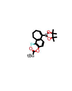 CC(C)(C)C(=O)Oc1ccc2c(c1F)CCCC=C2B1OC(C)(C)C(C)(C)O1